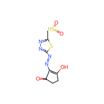 O=C1CCC(O)=C1N=Nc1nnc(C[SH](=O)=O)s1